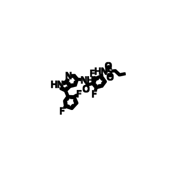 CCCS(=O)(=O)Nc1ccc(F)c(C(=O)Nc2cnc3[nH]cc(-c4cc(F)ccc4F)c3c2)c1F